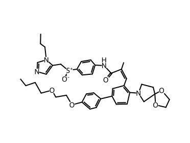 CCCCOCCOc1ccc(-c2ccc(N3CCC4(C3)OCCO4)c(C=C(C)C(=O)Nc3ccc([S@@+]([O-])Cc4cncn4CCC)cc3)c2)cc1